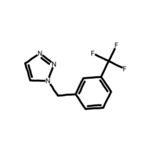 FC(F)(F)c1cccc(Cn2ccnn2)c1